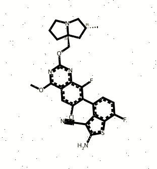 COc1nc(OC[C@@]23CCCN2C[C@H](C)C3)nc2c(F)c(-c3ccc(F)c4sc(N)c(C#N)c34)c(Cl)cc12